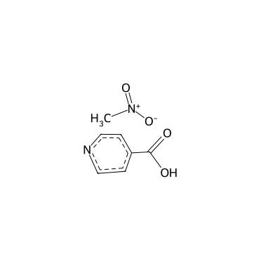 C[N+](=O)[O-].O=C(O)c1ccncc1